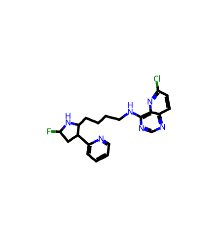 FC1CC(c2ccccn2)C(CCCCNc2ncnc3ccc(Cl)nc23)N1